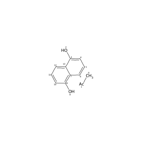 CC(C)=O.Oc1cccc2c(O)cccc12